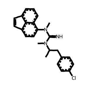 CC(Cc1ccc(Cl)cc1)N(C)C(=N)N(C)c1ccc2c3c(cccc13)C=C2